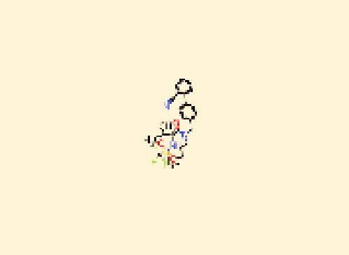 CCCCN(Cc1ccc(-c2ccccc2C#N)cc1)C(=O)[C@@H](NS(=O)(=O)C(F)(F)F)C(C)C